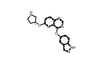 c1nc(Oc2ccc3[nH]ncc3c2)c2nc(O[C@H]3CCNC3)ccc2n1